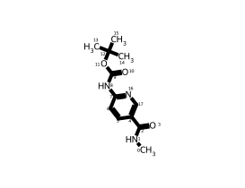 CNC(=O)c1ccc(NC(=O)OC(C)(C)C)nc1